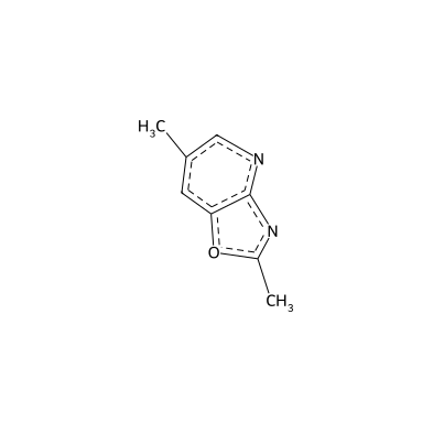 Cc1cnc2nc(C)oc2c1